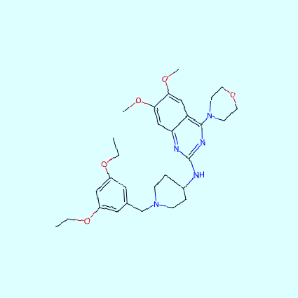 CCOc1cc(CN2CCC(Nc3nc(N4CCOCC4)c4cc(OC)c(OC)cc4n3)CC2)cc(OCC)c1